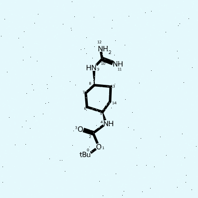 CC(C)(C)OC(=O)N[C@H]1CC[C@@H](NC(=N)N)CC1